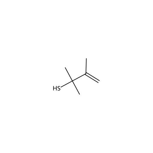 C=C(C)C(C)(C)S